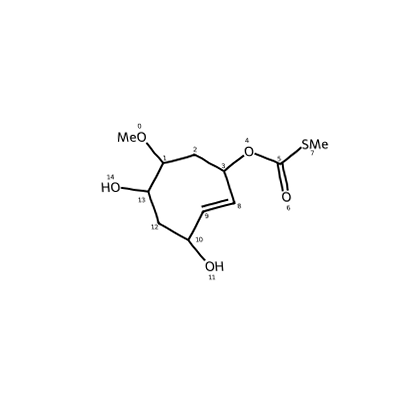 COC1CC(OC(=O)SC)/C=C/C(O)CC1O